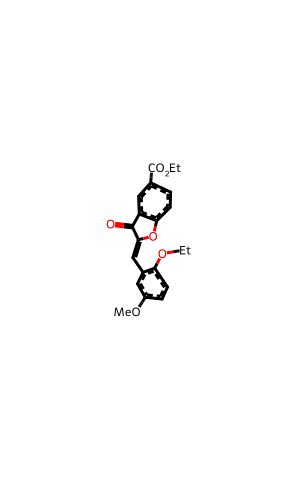 CCOC(=O)c1ccc2c(c1)C(=O)C(=Cc1cc(OC)ccc1OCC)O2